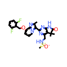 Cc1nc2c(OCc3c(F)cccc3F)cccn2c1-c1nc(CN[S+](C)[O-])c2c(n1)NC(=O)C2(C)C